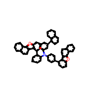 c1cc(-c2cccc3ccccc23)cc(N(c2ccc(-c3cccc4oc5c6ccccc6ccc5c34)cc2)c2ccccc2-c2cccc3oc4c5ccccc5ccc4c23)c1